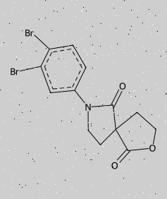 O=C1OCCC12CCN(c1ccc(Br)c(Br)c1)C2=O